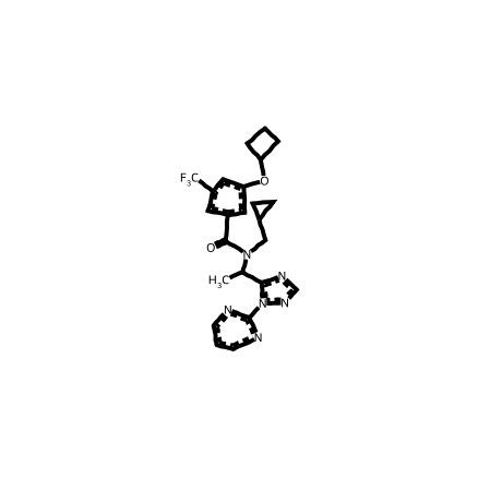 CC(c1ncnn1-c1ncccn1)N(CC1CC1)C(=O)c1cc(OC2CCC2)cc(C(F)(F)F)c1